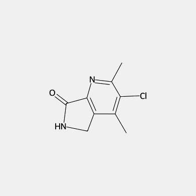 Cc1nc2c(c(C)c1Cl)CNC2=O